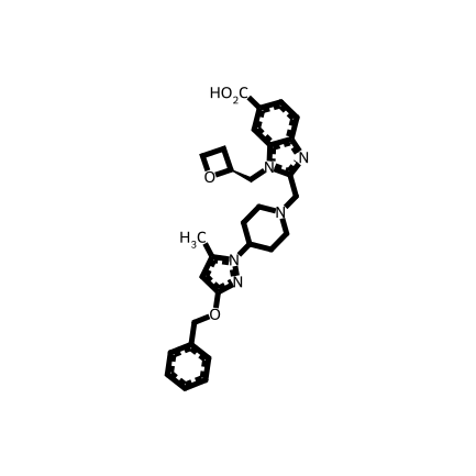 Cc1cc(OCc2ccccc2)nn1C1CCN(Cc2nc3ccc(C(=O)O)cc3n2C[C@@H]2CCO2)CC1